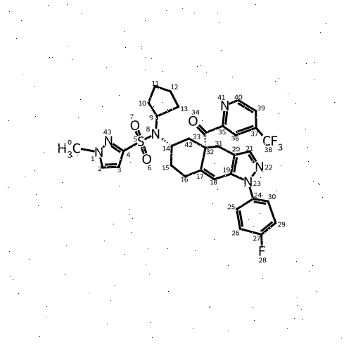 Cn1ccc(S(=O)(=O)N(C2CCCC2)[C@H]2CCC3=Cc4c(cnn4-c4ccc(F)cc4)C[C@]3(C(=O)c3cc(C(F)(F)F)ccn3)C2)n1